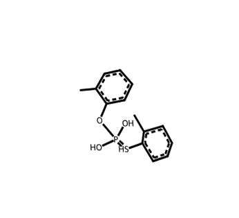 Cc1ccccc1OP(O)(O)=[SH]c1ccccc1C